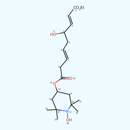 CCOC(=O)/C=C/C(O)C/C=C/CC(=O)OC1CC(C)(C)N(O)C(C)(C)C1